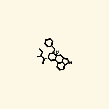 CCN(C)C(=O)[C@H]1C=C2c3cccc4[nH]cc(c34)C[C@H]2N(Cc2ccccc2)C1